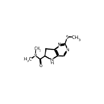 CSc1ncc2c(n1)CC(C(=O)N(C)C)N2